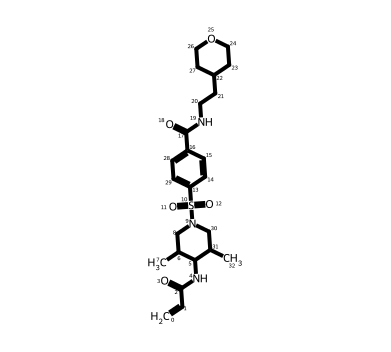 C=CC(=O)NC1C(C)CN(S(=O)(=O)c2ccc(C(=O)NCCC3CCOCC3)cc2)CC1C